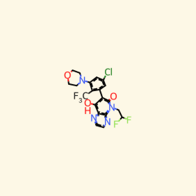 O=c1c(-c2cc(Cl)cc(N3CCOCC3)c2C(F)(F)F)c(O)c2nccnc2n1CC(F)F